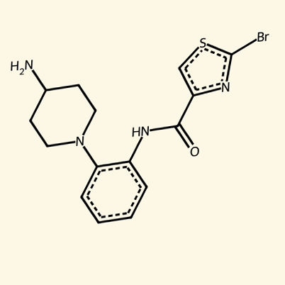 NC1CCN(c2ccccc2NC(=O)c2csc(Br)n2)CC1